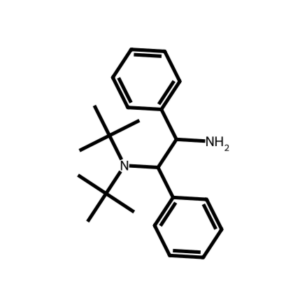 CC(C)(C)N(C(c1ccccc1)C(N)c1ccccc1)C(C)(C)C